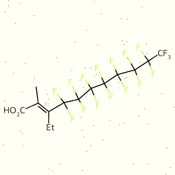 CC/C(=C(/C)C(=O)O)C(F)(F)C(F)(F)C(F)(F)C(F)(F)C(F)(F)C(F)(F)C(F)(F)C(F)(F)F